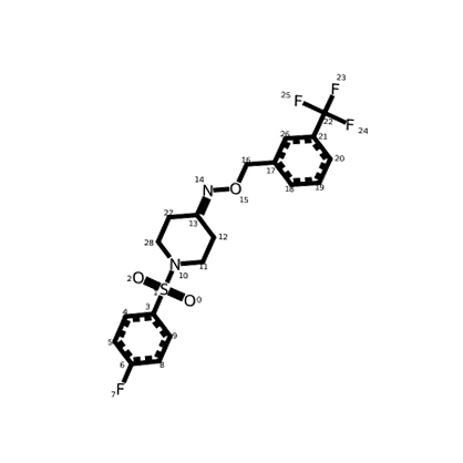 O=S(=O)(c1ccc(F)cc1)N1CCC(=NOCc2cccc(C(F)(F)F)c2)CC1